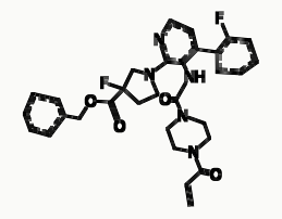 C=CC(=O)N1CCN(C(=O)Nc2c(-c3ccccc3F)ccnc2N2CCC(F)(C(=O)OCc3ccccc3)C2)CC1